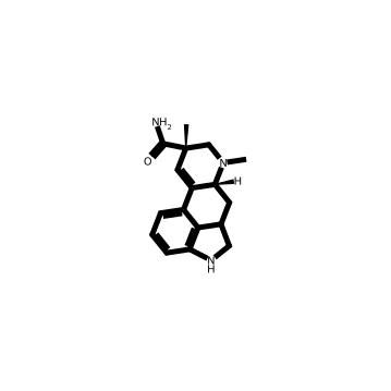 CN1C[C@@](C)(C(N)=O)C=C2c3cccc4c3C(CN4)C[C@H]21